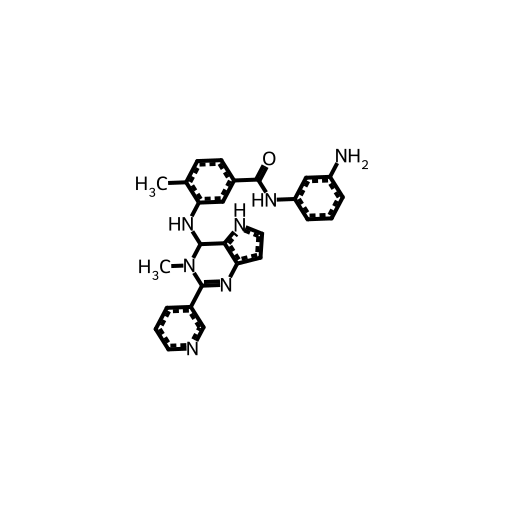 Cc1ccc(C(=O)Nc2cccc(N)c2)cc1NC1c2[nH]ccc2N=C(c2cccnc2)N1C